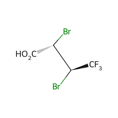 O=C(O)[C@H](Br)[C@H](Br)C(F)(F)F